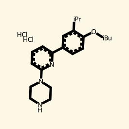 CCC(C)Oc1ccc(-c2cccc(N3CCNCC3)n2)cc1C(C)C.Cl.Cl